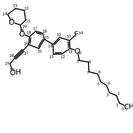 CCCCCCCCCCOc1ccc(-c2ccc(OC3CCCCO3)c(C#CCO)c2)cc1F